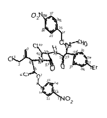 C=C(CCl)C(C(=O)OCc1ccc([N+](=O)[O-])cc1)N1C(=O)C(NC(=O)C(c2ccc(CC)cc2)N(C=O)OCc2ccc([N+](=O)[O-])cc2)C1Cl